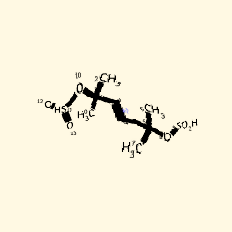 CC(C)(/C=C/C(C)(C)OS(=O)(=O)O)O[SH](=O)=O